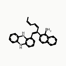 Bc1c(C(/C=C\C=C/C)=C\c2cccc3c2Nc2ccccc2N3)ccc2ccccc12